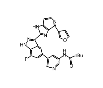 CCCCC(=O)Nc1cncc(-c2cc(F)c3[nH]nc(-c4nc5c(-c6ccoc6)nccc5[nH]4)c3c2)c1